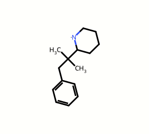 CC(C)(Cc1ccccc1)C1CCCC[N]1